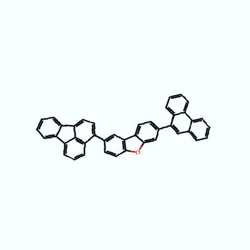 c1ccc2c(c1)-c1cccc3c(-c4ccc5oc6cc(-c7cc8ccccc8c8ccccc78)ccc6c5c4)ccc-2c13